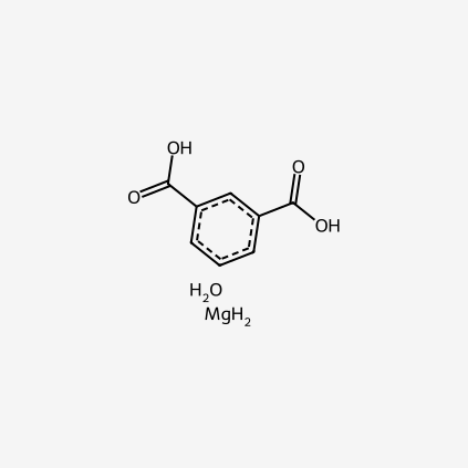 O.O=C(O)c1cccc(C(=O)O)c1.[MgH2]